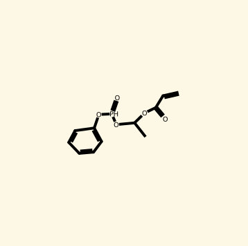 C=CC(=O)OC(C)O[PH](=O)Oc1ccccc1